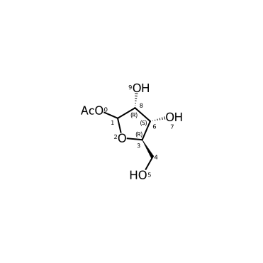 CC(=O)OC1O[C@H](CO)[C@@H](O)[C@H]1O